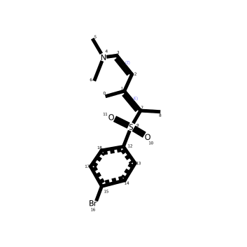 CC(/C=C\N(C)C)=C(/C)S(=O)(=O)c1ccc(Br)cc1